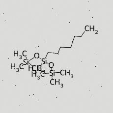 [CH2]CCCCCC[Si](C)(O[Si](C)(C)C)O[Si](C)(C)C